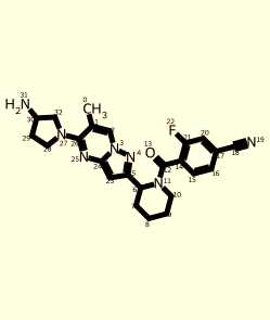 Cc1cn2nc(C3CCCCN3C(=O)c3ccc(C#N)cc3F)cc2nc1N1CCC(N)C1